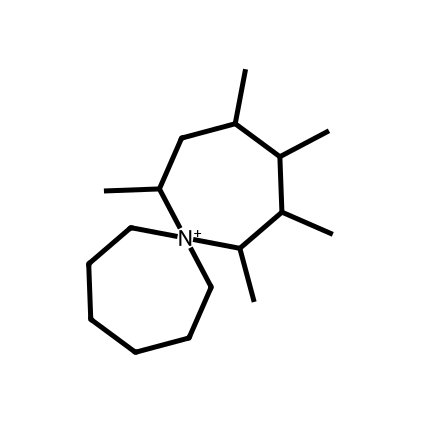 CC1CC(C)[N+]2(CCCCCC2)C(C)C(C)C1C